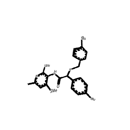 CSc1cc(C)nc(SC)c1NC(=O)C(SCc1ccc(C(C)(C)C)cc1)c1ccc(C(C)(C)C)cc1